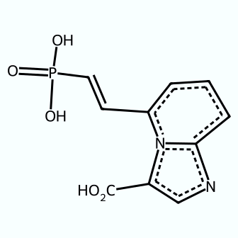 O=C(O)c1cnc2cccc(C=CP(=O)(O)O)n12